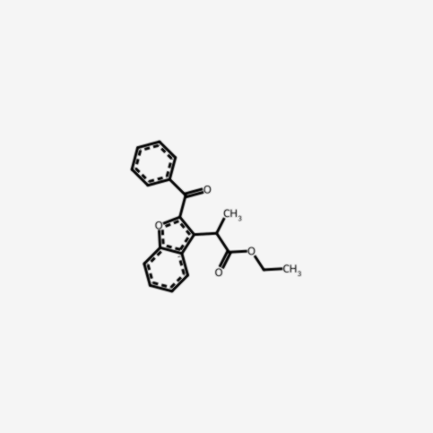 CCOC(=O)C(C)c1c(C(=O)c2ccccc2)oc2ccccc12